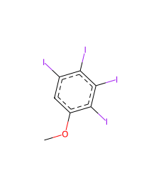 COc1cc(I)c(I)c(I)c1I